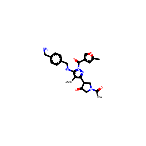 COc1c(C2CN(C(=O)C(C)(C)C)CC2=O)nn(C(=O)c2coc(C)c2)c1NCc1ccc(CN)cc1